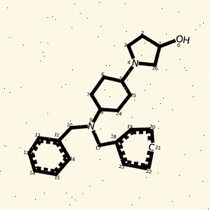 OC1CCN(C2CCC(N(Cc3ccccc3)Cc3ccccc3)CC2)C1